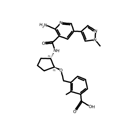 Cc1c(CO[C@H]2CCC[C@@H]2NC(=O)c2cc(-c3cnn(C)c3)cnc2N)cccc1C(=O)O